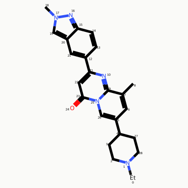 CCN1CCC(c2cc(C)c3nc(-c4ccc5nn(C)cc5c4)cc(=O)n3c2)CC1